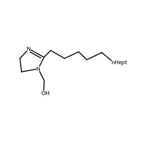 CCCCCCCCCCCCC1=NCCN1CO